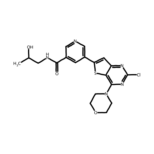 CC(O)CNC(=O)c1cncc(-c2cc3nc(Cl)nc(N4CCOCC4)c3s2)c1